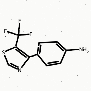 Nc1ccc(-c2n[c]sc2C(F)(F)F)cc1